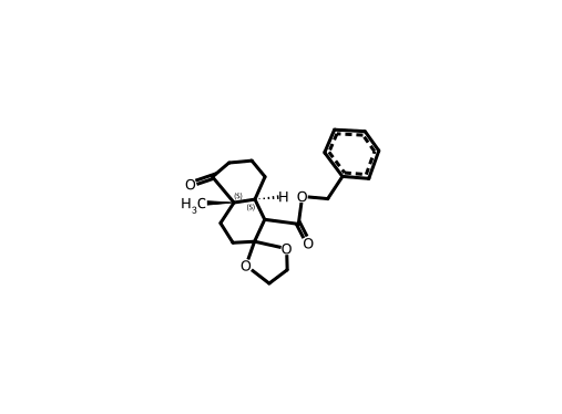 C[C@]12CCC3(OCCO3)C(C(=O)OCc3ccccc3)[C@@H]1CCCC2=O